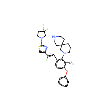 F/C(=C\c1ccc(Oc2ccccc2)c(C(F)(F)F)c1N1CCCC2(CCNCC2)C1)c1csc(N2CCC(F)(F)C2)n1